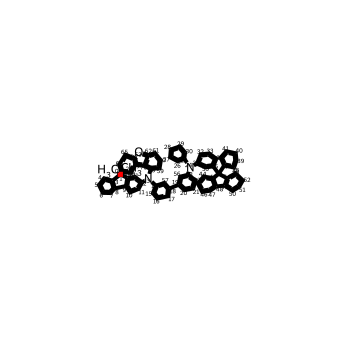 CC1(C)c2ccccc2-c2ccc(N(c3cccc(-c4cccc(N(c5ccccc5)c5cccc(C6(c7ccccc7)c7ccccc7-c7ccccc76)c5)c4)c3)c3cccc4oc5ccccc5c34)cc21